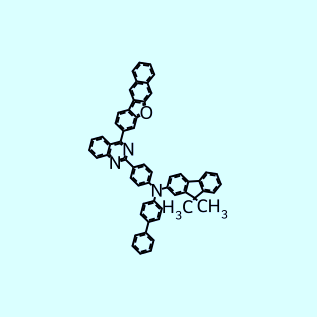 CC1(C)c2ccccc2-c2ccc(N(c3ccc(-c4ccccc4)cc3)c3ccc(-c4nc(-c5ccc6c(c5)oc5cc7ccccc7cc56)c5ccccc5n4)cc3)cc21